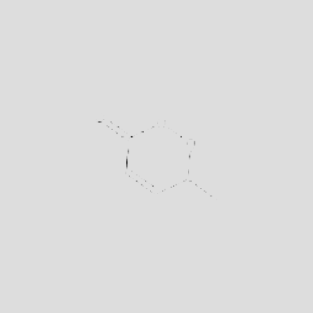 CC1C=CC(=O)OO1